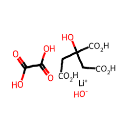 O=C(O)C(=O)O.O=C(O)CC(O)(CC(=O)O)C(=O)O.[Li+].[OH-]